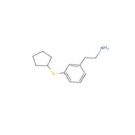 NCCc1cccc(SC2CCCC2)c1